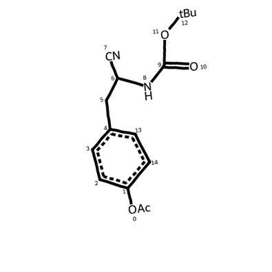 CC(=O)Oc1ccc(CC(C#N)NC(=O)OC(C)(C)C)cc1